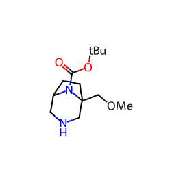 COCC12CCC(CNC1)N2C(=O)OC(C)(C)C